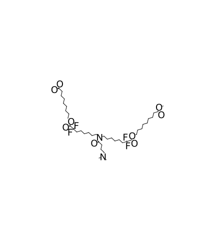 COC(=O)CCCCCCCCOC(=O)C(F)(F)CCCCCCN(CCCCCCC(F)(F)C(=O)OCCCCCCCCC(=O)OC)C(=O)CCCN(C)C